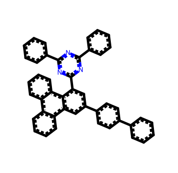 c1ccc(-c2ccc(-c3cc(-c4nc(-c5ccccc5)nc(-c5ccccc5)n4)c4c5ccccc5c5ccccc5c4c3)cc2)cc1